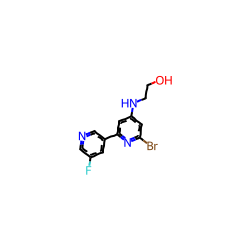 OCCNc1cc(Br)nc(-c2cncc(F)c2)c1